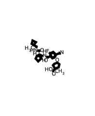 CC1(CNC(=O)[C@H]2[C@H]3CC[C@H](C3)[C@H]2NC(=O)c2cc(O[C@H]3CC[C@@](C)(C(=O)O)CC3)c(C#N)cc2F)CCC1